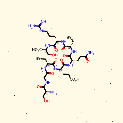 CC(C)C[C@H](NC(=O)CNC(=O)[C@@H](N)CO)C(=O)N[C@@H](CCC(=O)O)C(=O)N[C@@H](CCC(N)=O)C(=O)N[C@@H](CC(C)C)C(=O)N[C@@H](CCCNC(=N)N)C(=O)N[C@@H](CO)C(=O)O